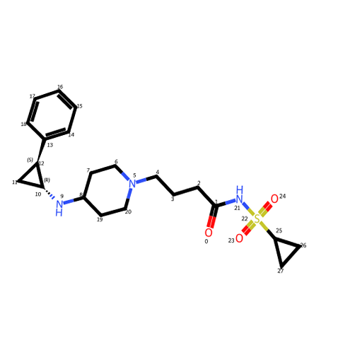 O=C(CCCN1CCC(N[C@@H]2C[C@H]2c2ccccc2)CC1)NS(=O)(=O)C1CC1